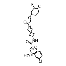 O=C(NC1CC2(C1)CN(C(=O)COc1ccc(Cl)c(F)c1)C2)[C@H]1C[C@@H](O)c2cc(Cl)ccc2O1